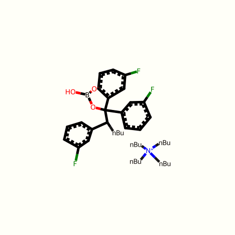 CCCCC(c1cccc(F)c1)C(OB([O-])O)(c1cccc(F)c1)c1cccc(F)c1.CCCC[N+](CCCC)(CCCC)CCCC